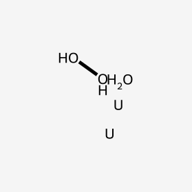 O.OO.[U].[U]